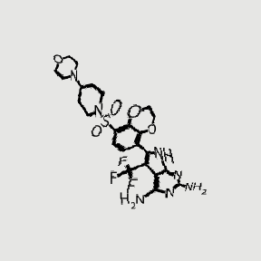 Nc1nc(N)c2c(C(F)(F)F)c(-c3ccc(S(=O)(=O)N4CCC(N5CCOCC5)CC4)c4c3OCCO4)[nH]c2n1